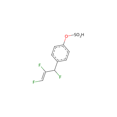 O=S(=O)(O)Oc1ccc(C(F)C(F)=CF)cc1